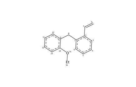 C=Cc1ccccc1Cc1ccccc1OCC